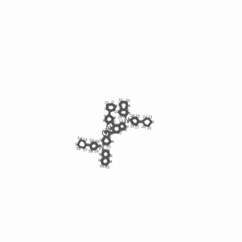 c1ccc(-c2ccc3c(c2)c2c4cc(N(c5ccc(C6CCCCC6)cc5)c5ccc6ccccc6c5)ccc4cc4c5c6ccc(N(c7ccc(C8CCCCC8)cc7)c7ccc8ccccc8c7)cc6oc5n3c42)cc1